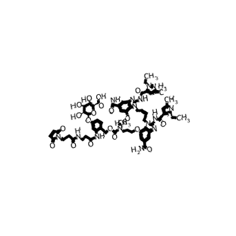 CCn1nc(C)cc1C(=O)Nc1nc2cc(C(N)=O)cc(OC)c2n1C/C=C\Cn1c(NC(=O)c2cc(C)nn2CC)nc2cc(C(N)=O)cc(OCCCN(C)C(=O)OCc3ccc(O[C@@H]4O[C@H](C(=O)O)[C@@H](O)[C@H](O)[C@H]4O)cc3NC(=O)CCNC(=O)CCN3C(=O)C=CC3=O)c21